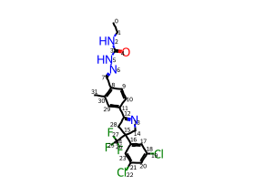 CCNC(=O)NN=Cc1ccc(C2=NCC(c3cc(Cl)cc(Cl)c3)(C(F)(F)F)C2)cc1C